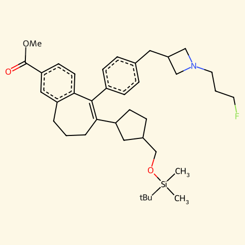 COC(=O)c1ccc2c(c1)CCCC(C1CCC(CO[Si](C)(C)C(C)(C)C)C1)=C2c1ccc(CC2CN(CCCF)C2)cc1